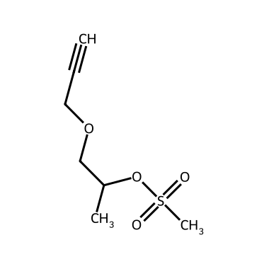 C#CCOCC(C)OS(C)(=O)=O